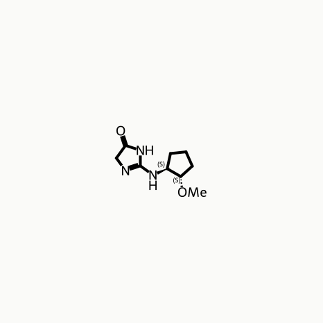 CO[C@H]1CCC[C@@H]1NC1=NCC(=O)N1